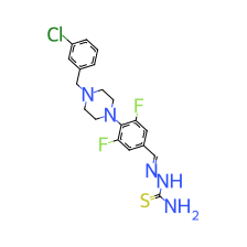 NC(=S)N/N=C/c1cc(F)c(N2CCN(Cc3cccc(Cl)c3)CC2)c(F)c1